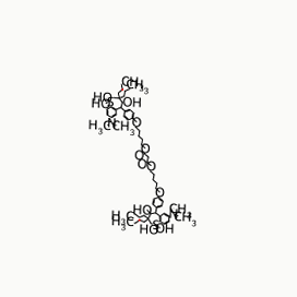 CCCCC1(CCCC)CS(O)(O)c2ccc(N(C)C)cc2C(c2ccc(OCCCCCOC(=O)CC(=O)OCCCCCOc3ccc(C4c5cc(N(C)C)ccc5S(O)(O)CC(CCCC)(CCCC)C4O)cc3)cc2)C1O